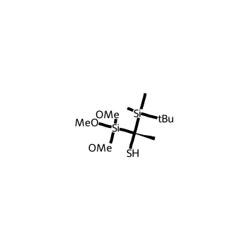 CO[Si](OC)(OC)[C@@](C)(S)[Si](C)(C)C(C)(C)C